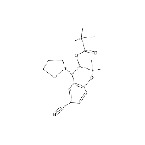 CC(C)(C)C(=O)OC1C(N2CCCC2)c2cc(C#N)ccc2OC1(C)C